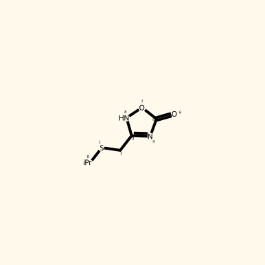 CC(C)SCc1nc(=O)o[nH]1